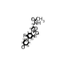 CC(=O)NC[C@H]1CN(c2cc(F)c(N3C=CC(=O)CC3)cc2F)C(=O)O1